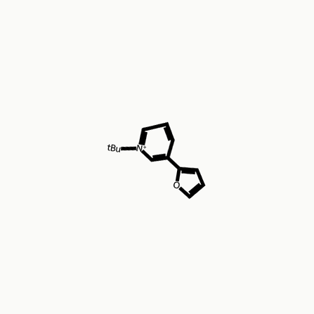 CC(C)(C)[n+]1cccc(-c2ccco2)c1